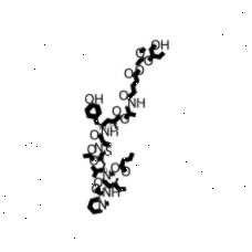 CCCC(=O)OCN(C(=O)[C@@H](NC(=O)[C@H]1CCCCN1C)[C@@H](C)CC)[C@H](C[C@@H](OC(C)=O)c1nc(C(=O)N[C@@H](Cc2ccc(O)cc2)C[C@H](C)C(=O)OC(C)CNC(=O)CCCC(=O)OCC(OC)OC(CC)CO)cs1)C(C)C